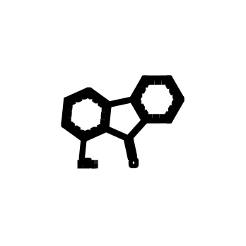 CCCCc1cccc2c1C(=O)c1ccccc1-2